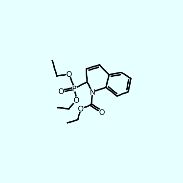 CCOC(=O)N1c2ccccc2C=CC1P(=O)(OCC)OCC